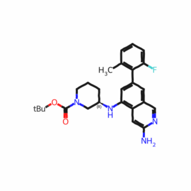 Cc1cccc(F)c1-c1cc(N[C@@H]2CCCN(C(=O)OC(C)(C)C)C2)c2cc(N)ncc2c1